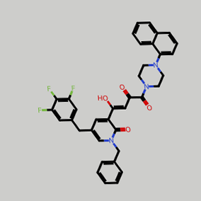 O=C(/C=C(\O)c1cc(Cc2cc(F)c(F)c(F)c2)cn(Cc2ccccc2)c1=O)C(=O)N1CCN(c2cccc3ccccc23)CC1